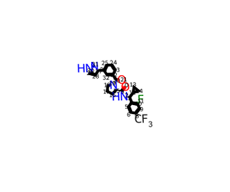 O=C(N[C@@H](c1ccc(C(F)(F)F)cc1F)C1CC1)[C@H]1CCCN1C(=O)c1cccc(-c2cc[nH]n2)c1